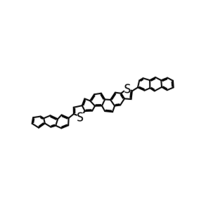 c1ccc2cc3cc(-c4cc5cc6ccc7c8cc9sc(-c%10ccc%11cc%12ccccc%12cc%11c%10)cc9cc8ccc7c6cc5s4)ccc3cc2c1